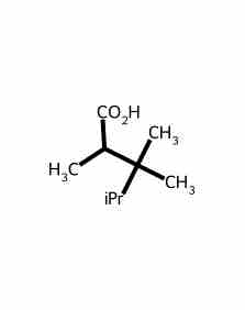 CC(C)C(C)(C)C(C)C(=O)O